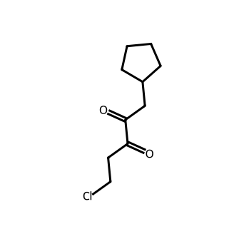 O=C(CCCl)C(=O)CC1CCCC1